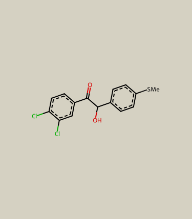 CSc1ccc(C(O)C(=O)c2ccc(Cl)c(Cl)c2)cc1